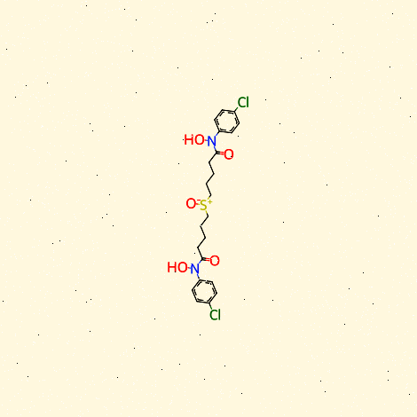 O=C(CCCC[S+]([O-])CCCCC(=O)N(O)c1ccc(Cl)cc1)N(O)c1ccc(Cl)cc1